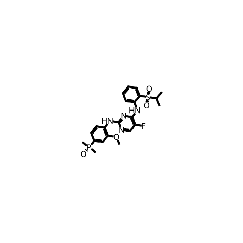 COc1cc(P(C)(C)=O)ccc1Nc1ncc(F)c(Nc2ccccc2S(=O)(=O)C(C)C)n1